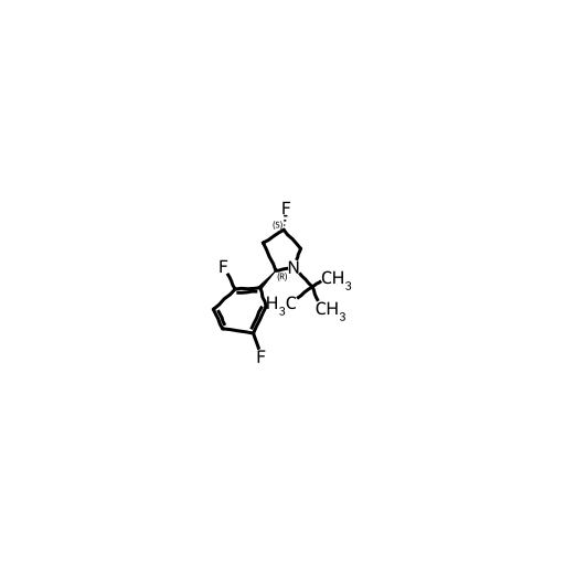 CC(C)(C)N1C[C@@H](F)C[C@@H]1c1cc(F)ccc1F